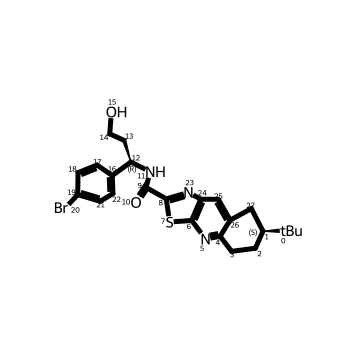 CC(C)(C)[C@H]1CCc2nc3sc(C(=O)N[C@H](CCO)c4ccc(Br)cc4)nc3cc2C1